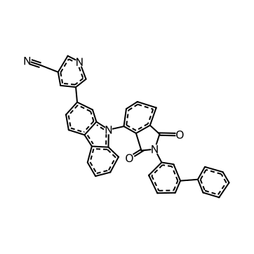 N#Cc1cncc(-c2ccc3c4ccccc4n(-c4cccc5c4C(=O)N(c4cccc(-c6ccccc6)c4)C5=O)c3c2)c1